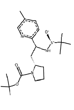 Cc1ccc(C(C[C@@H]2CCCN2C(=O)OC(C)(C)C)N[S@@+]([O-])C(C)(C)C)nc1